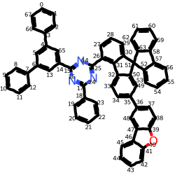 c1ccc(-c2cc(-c3ccccc3)cc(-c3nc(-c4ccccc4)nc(-c4cccc5c4-c4ccc(-c6ccc7oc8ccccc8c7c6)cc4C54c5ccccc5-c5ccccc54)n3)c2)cc1